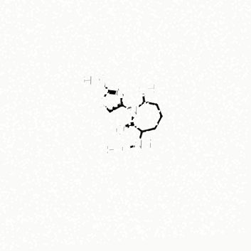 CNC1CCCC(C)N(c2csc(C)n2)C1=O